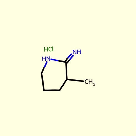 CC1CCCNC1=N.Cl